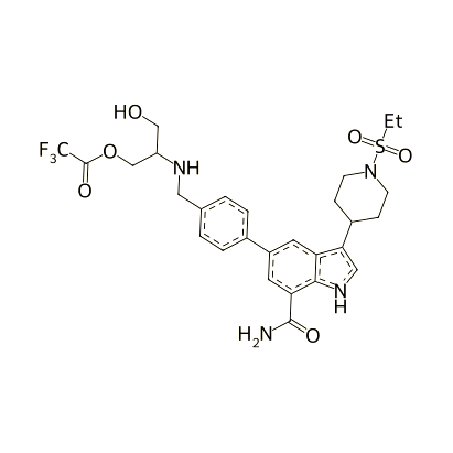 CCS(=O)(=O)N1CCC(c2c[nH]c3c(C(N)=O)cc(-c4ccc(CNC(CO)COC(=O)C(F)(F)F)cc4)cc23)CC1